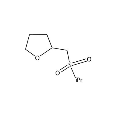 CC(C)S(=O)(=O)CC1CCCO1